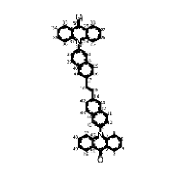 O=c1c2ccccc2n(-c2ccc3cc(/C=C/c4ccc5cc(-n6c7ccccc7c(=O)c7ccccc76)ccc5c4)ccc3c2)c2ccccc12